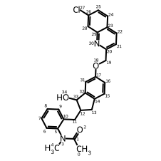 CC(=O)N(C)c1ccccc1CC1Cc2ccc(OCc3ccc4ccc(Cl)cc4n3)cc2C1O